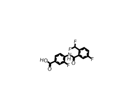 O=C(O)c1ccc(NC(=O)c2cc(F)ccc2C(F)F)c(F)c1